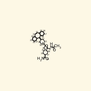 CC(=O)NCC(=O)[N+]1(CCN2CCC(=C3c4ccccc4C=Cc4ccccc43)CC2)CCC(C(N)=O)CC1